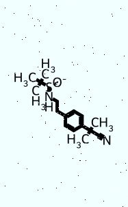 CC(C)(C#N)c1ccc(CCN[S@@+]([O-])C(C)(C)C)cc1